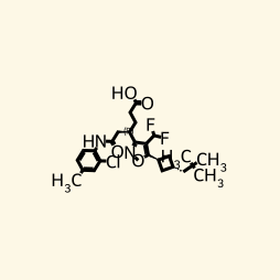 Cc1ccc(NC(=O)C[C@@H](CCC(=O)O)c2noc([C@H]3C[C@H](CC(C)(C)C)C3)c2C(F)F)c(Cl)c1